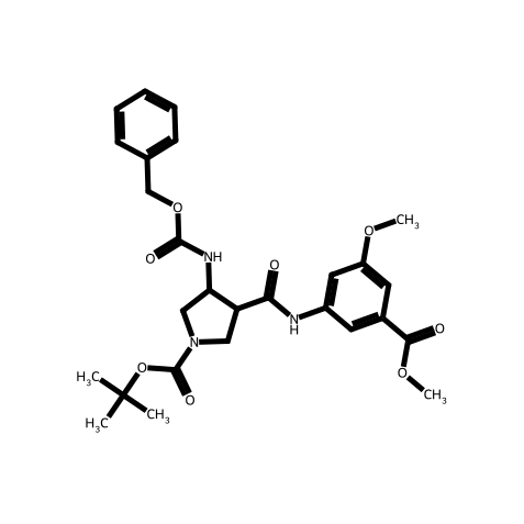 COC(=O)c1cc(NC(=O)C2CN(C(=O)OC(C)(C)C)CC2NC(=O)OCc2ccccc2)cc(OC)c1